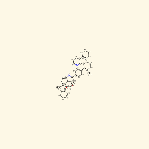 CC1C/C=C(C2C=CCCC2)/N=C(/c2ccc(C3C(C)C=CCC3C3N=CC=CC3C3=CC=CCC3)cc2)CC/C=C\1C1=CCCC=C1